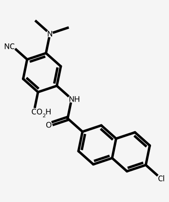 CN(C)c1cc(NC(=O)c2ccc3cc(Cl)ccc3c2)c(C(=O)O)cc1C#N